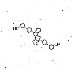 N#Cc1cccc(-c2ccc(-c3cc4c5ccccc5c(-c5ccc(-c6cccc(C#N)c6)cc5)cc4c4ccccc34)cc2)c1